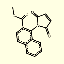 COC(=O)c1ccc2ccccc2c1N1C(=O)C=CC1=O